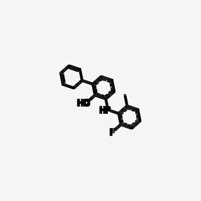 Cc1cccc(F)c1Pc1cccc(C2C=CC=CC2)c1O